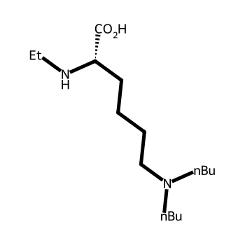 CCCCN(CCCC)CCCC[C@H](NCC)C(=O)O